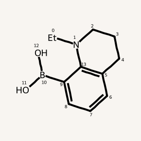 CCN1CCCc2cccc(B(O)O)c21